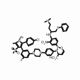 Cc1c(S(C)(=O)=O)c(-c2cc(F)cc(N3CCN(c4ccc(N5C(C(=O)O)C=COP5c5ccc(NC(CCN(C)C)CSc6ccccc6)c([N+](=O)[O-])c5)cc4)CC3)c2)c(-c2ccc(Cl)cc2)n1C(C)C